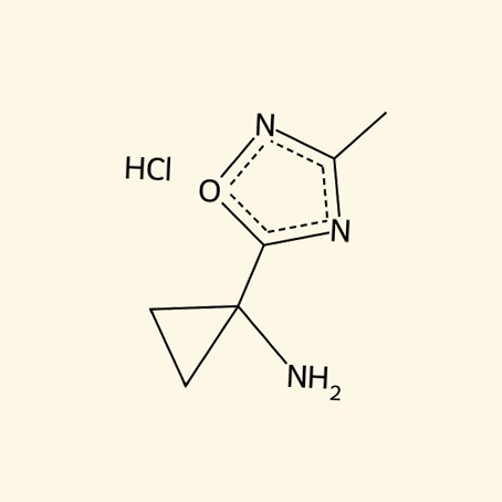 Cc1noc(C2(N)CC2)n1.Cl